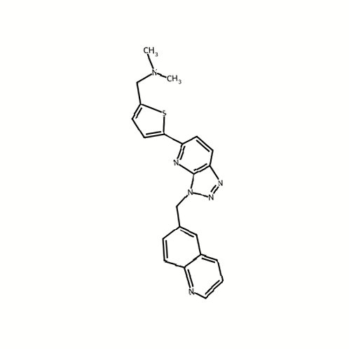 CN(C)Cc1ccc(-c2ccc3nnn(Cc4ccc5ncccc5c4)c3n2)s1